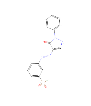 O=c1c(N=Nc2cccc(S(=O)(=O)Cl)c2)c[nH]n1-c1ccccc1